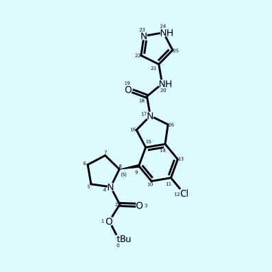 CC(C)(C)OC(=O)N1CCC[C@H]1c1cc(Cl)cc2c1CN(C(=O)Nc1cn[nH]c1)C2